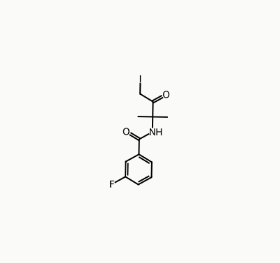 CC(C)(NC(=O)c1cccc(F)c1)C(=O)CI